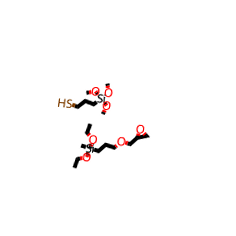 CCO[Si](C)(CCCOCC1CO1)OCC.CO[Si](CCCS)(OC)OC